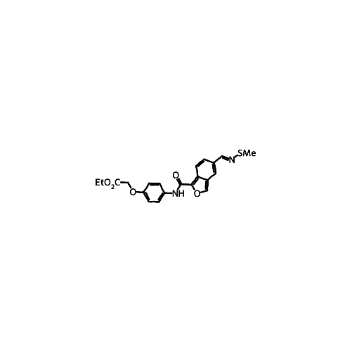 CCOC(=O)COc1ccc(NC(=O)c2occ3cc(C=NSC)ccc23)cc1